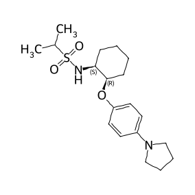 CC(C)S(=O)(=O)N[C@H]1CCCC[C@H]1Oc1ccc(N2CCCC2)cc1